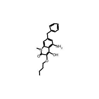 CCCCOc1c(O)c2c(N)cc(Cc3ccccc3)cc2n(C)c1=O